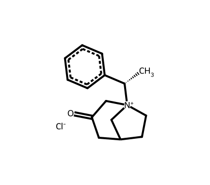 C[C@@H](c1ccccc1)[N+]12CCC(CC(=O)C1)C2.[Cl-]